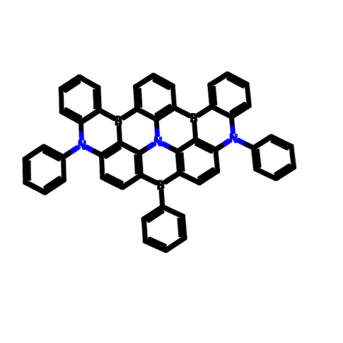 c1ccc(B2c3ccc4c5c3N3c6c(cccc6B6c7ccccc7N(c7ccccc7)c7ccc2c3c76)B5c2ccccc2N4c2ccccc2)cc1